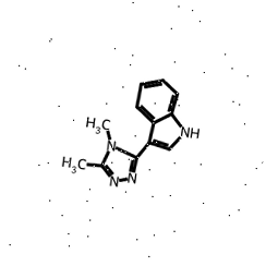 Cc1nnc(-c2c[nH]c3ccccc23)n1C